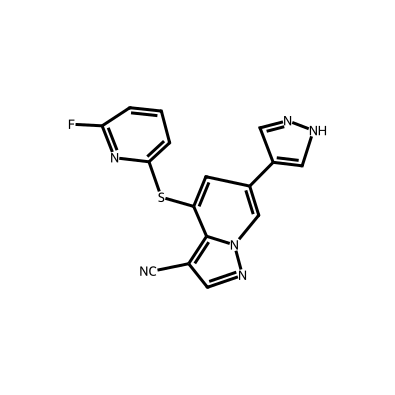 N#Cc1cnn2cc(-c3cn[nH]c3)cc(Sc3cccc(F)n3)c12